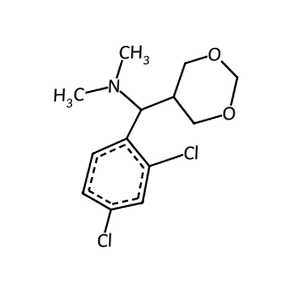 CN(C)C(c1ccc(Cl)cc1Cl)C1COCOC1